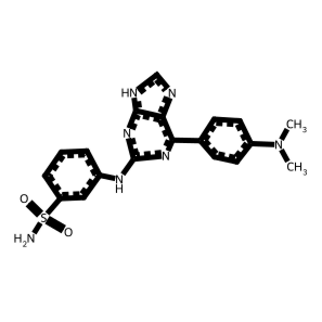 CN(C)c1ccc(-c2nc(Nc3cccc(S(N)(=O)=O)c3)nc3[nH]cnc23)cc1